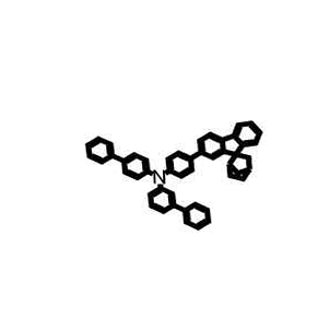 c1ccc(-c2ccc(N(c3ccc(-c4ccc5c(c4)C4(CC6CCC4C6)c4ccccc4-5)cc3)c3cccc(-c4ccccc4)c3)cc2)cc1